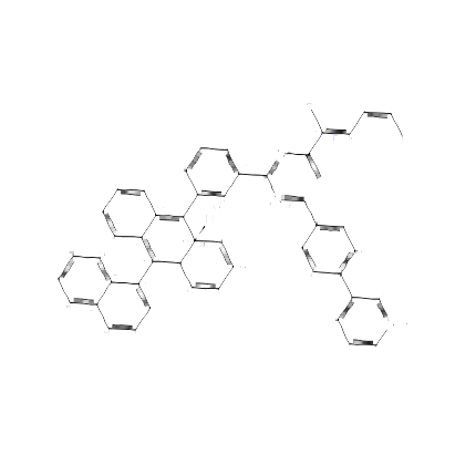 C=C(/N=C(\N=C\c1ccc(-c2cccnc2)cc1)c1cccc(C2=c3ccccc3=C(c3cccc4ccccc34)C3C=CC=C[C@@H]23)c1)/C(C)=C/C=C\C